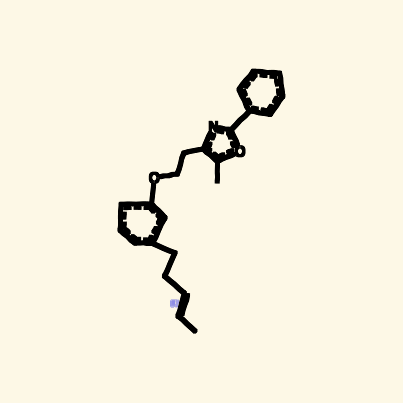 C/C=C/CCc1cccc(OCCc2nc(-c3ccccc3)oc2C)c1